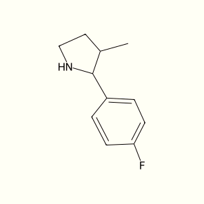 CC1CCNC1c1ccc(F)cc1